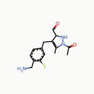 CC(=O)N1NC(C=O)C(Cc2ccc(CN)c(F)c2)=C1C